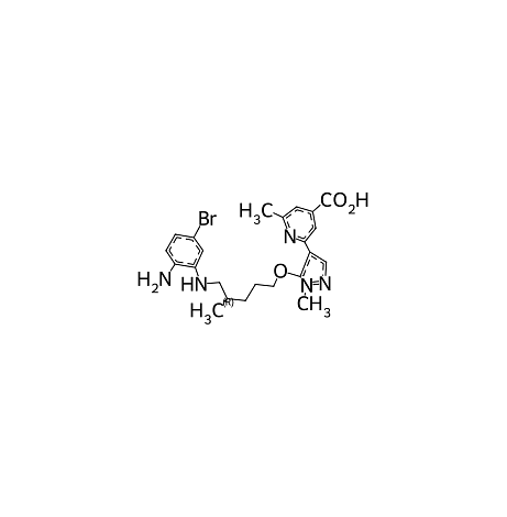 Cc1cc(C(=O)O)cc(-c2cnn(C)c2OCCC[C@@H](C)CNc2cc(Br)ccc2N)n1